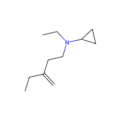 C=C(CC)CCN(CC)C1CC1